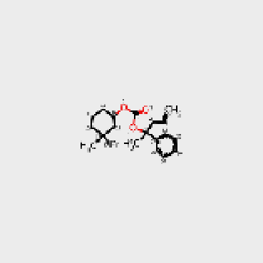 C=CCC(C)(OC(=O)OC1CCCC(C)(C(C)C)C1)c1ccccc1